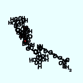 B[C@@H]1CC(=O)N(CCOCCOCCOCCOCc2cn(-c3cc(COC(=O)NCC45OC6c7c(C)cc8c(OC)c9c(c(O)c8c7O[C@](OC)(C6O4)[C@]5(CBr)OCN(CCS(C)(=O)=O)C(=O)OCc4ccc(O[C@@H]5O[C@H](C(=O)O)[C@@H](O)[C@H](O)[C@H]5O)cc4)C(=O)CCC9)ccc3O[C@@H]3O[C@H](C(=O)O)[C@@H](O)[C@H](O)[C@H]3O)nn2)C1=O